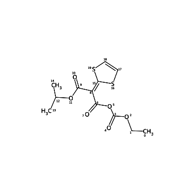 CCOC(=O)OC(=O)C(C(=O)OC(C)C)=C1SC=CS1